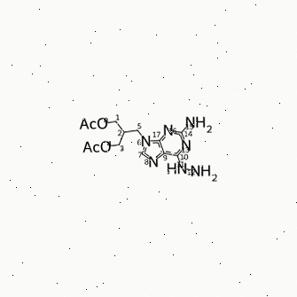 CC(=O)OCC(COC(C)=O)Cn1cnc2c(NN)nc(N)nc21